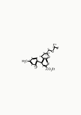 CCOC(=O)c1cc(-c2ccc(C)cc2F)c2c(n1)O[C@H](COC(F)F)CC2